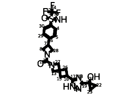 N=S(=O)(c1ccc(C2CN(C(=O)N3CC4(CC(c5nc(C6(O)CC6)n[nH]5)C4)C3)C2)cc1)C(F)(F)F